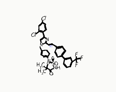 CC1(C)C(=O)NS(=O)(=O)N1c1ccc(Cn2cc(-c3ccc(Cl)cc3Cl)nc2/C=C/c2ccc(-c3cccc(C(F)(F)F)c3)cc2)cc1